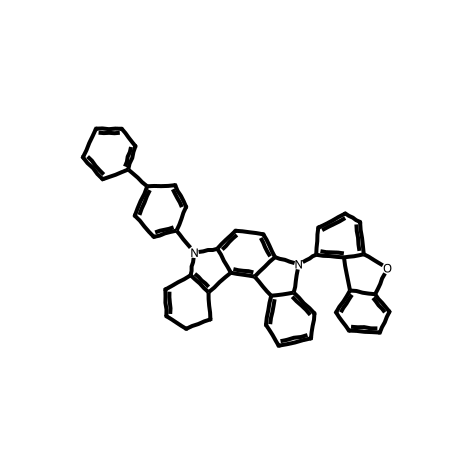 C1=Cc2c(c3c4c5ccccc5n(-c5cccc6oc7ccccc7c56)c4ccc3n2-c2ccc(-c3ccccc3)cc2)CC1